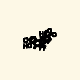 CC1C[C@](O)(C(F)(F)F)C(Nc2cccc3c(=O)occc23)c2ccc(Cl)c(O)c21